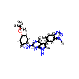 [2H]C([2H])([2H])O[C@H]1CC[C@@H](Nc2nc(OC)c3c(-c4ccc5nnn(C)c5c4)c[nH]c3n2)CC1